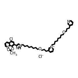 CC(=O)Oc1c(-c2cn(CCCCCCCCOCCCc3ccc[n+](CCCCCCCCOCCCc4cccnc4)c3)nn2)cc(Cl)c2cccnc12.[Cl-]